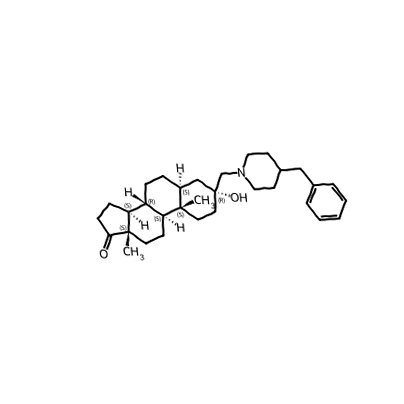 C[C@]12CC[C@](O)(CN3CCC(Cc4ccccc4)CC3)C[C@@H]1CC[C@@H]1[C@@H]2CC[C@]2(C)C(=O)CC[C@@H]12